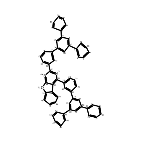 c1ccc(-c2cc(-c3ccccc3)cc(-c3cccc(-c4nc(-c5cccc(-c6cc(-c7ccccc7)cc(-c7ccccc7)c6)c5)c5c(n4)oc4ccccc45)c3)c2)cc1